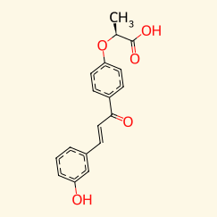 C[C@H](Oc1ccc(C(=O)/C=C/c2cccc(O)c2)cc1)C(=O)O